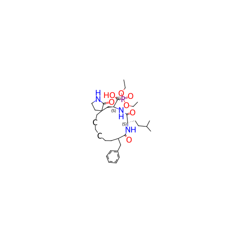 CCOP(=O)(OCC)[C@H](O)[C@@H]1CC2(CCCCCCC(Cc3ccccc3)C(=O)N[C@@H](CCC(C)C)C(=O)N1)CCNC2=O